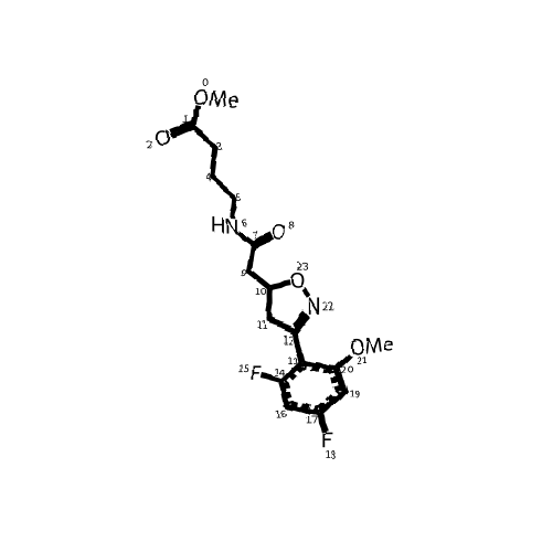 COC(=O)CCCNC(=O)CC1CC(c2c(F)cc(F)cc2OC)=NO1